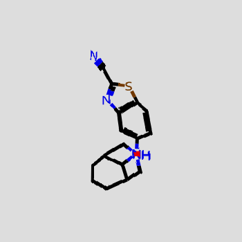 N#Cc1nc2cc(NC3C4CCCC3CNC4)ccc2s1